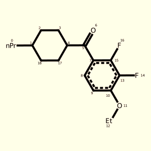 CCCC1CCC(C(=O)c2ccc(OCC)c(F)c2F)CC1